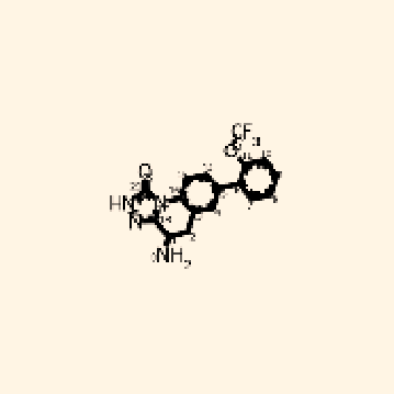 NC1Cc2cc(-c3ccccc3OC(F)(F)F)ccc2-n2c1n[nH]c2=O